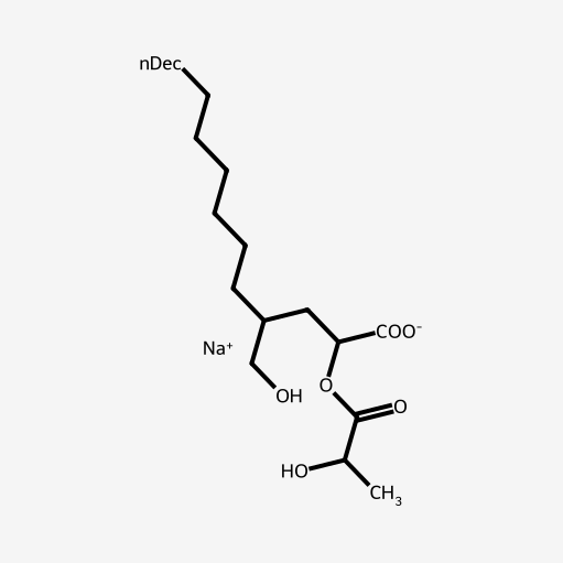 CCCCCCCCCCCCCCCCC(CO)CC(OC(=O)C(C)O)C(=O)[O-].[Na+]